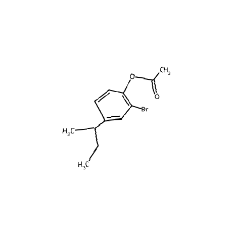 CCC(C)c1ccc(OC(C)=O)c(Br)c1